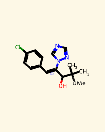 COC(C)(C)C(O)/C(=C/c1ccc(Cl)cc1)n1cncn1